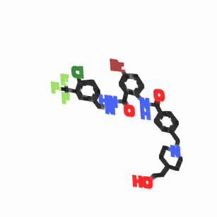 O=C(Nc1ccc(Br)cc1C(=O)N/N=C\c1ccc(Cl)c(C(F)(F)F)c1)c1ccc(CN2CCC(CCO)CC2)cc1